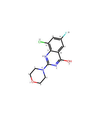 Oc1nc(N2CCOCC2)nc2c(Cl)cc(F)cc12